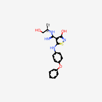 CC[C@H](CO)NC(=N)c1c(O)nsc1Nc1ccc(Oc2ccccc2)cc1